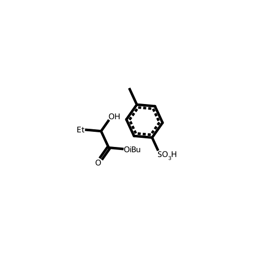 CCC(O)C(=O)OCC(C)C.Cc1ccc(S(=O)(=O)O)cc1